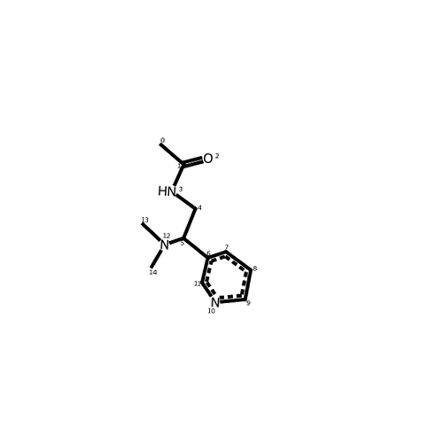 CC(=O)NCC(c1cccnc1)N(C)C